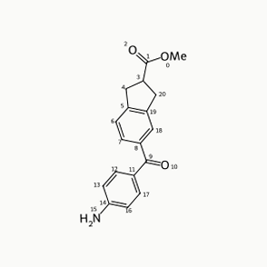 COC(=O)C1Cc2ccc(C(=O)c3ccc(N)cc3)cc2C1